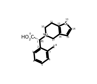 O=C(O)[C@@H](c1ccccc1I)N1CCc2sccc2C1